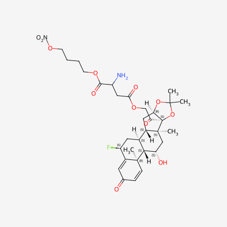 CC1(C)O[C@@H]2C[C@H]3[C@@H]4C[C@H](F)C5=CC(=O)C=C[C@]5(C)[C@H]4[C@@H](O)C[C@]3(C)[C@]2(C(=O)COC(=O)CC(N)C(=O)OCCCCO[N+](=O)[O-])O1